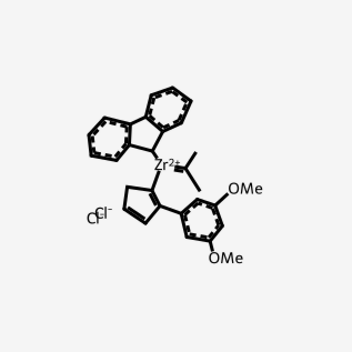 COc1cc(OC)cc(C2=[C]([Zr+2](=[C](C)C)[CH]3c4ccccc4-c4ccccc43)CC=C2)c1.[Cl-].[Cl-]